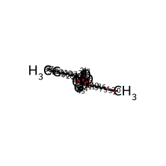 CCCCCCCCCCCCCCN1C(=O)C2=C(c3ccco3)N(CCCCCCCCCCCCCC)C(=O)C2=C1c1ccco1